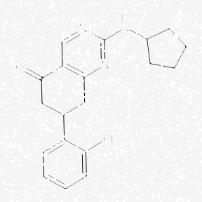 O=C1CC(c2ccccc2Cl)Cc2nc(NC3CCCC3)ncc21